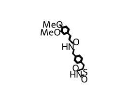 COc1ccc(C=CC(=O)NCCc2ccc(CC3SC(=O)NC3=O)cc2)cc1OC